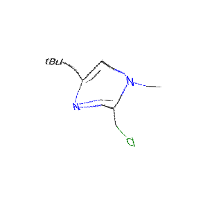 Cn1cc(C(C)(C)C)nc1Cl